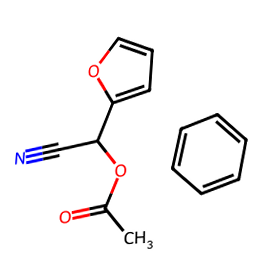 CC(=O)OC(C#N)c1ccco1.c1ccccc1